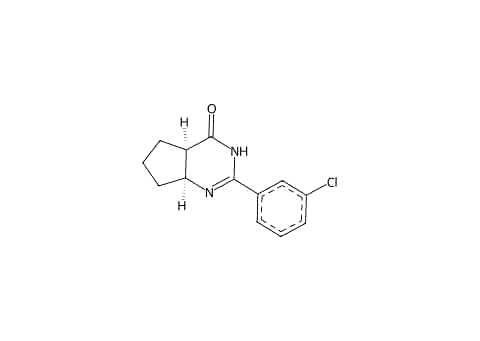 O=C1NC(c2cccc(Cl)c2)=N[C@H]2CCC[C@@H]12